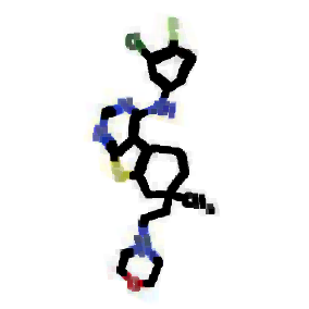 CC1(CCN2CCOCC2)CCc2c(sc3ncnc(Nc4ccc(F)c(Cl)c4)c23)C1